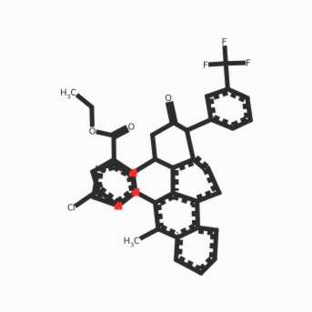 CCOC(=O)c1nccc(-c2c(C)c3ccccc3c3ccc4c(c23)C(c2ccc(Cl)cc2)CC(=O)C4c2cccc(C(F)(F)F)c2)n1